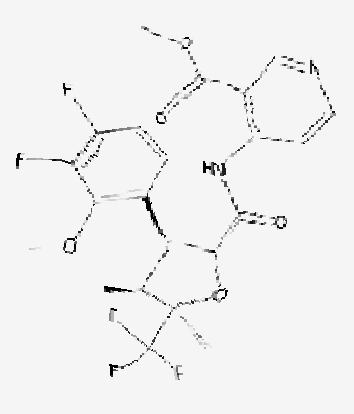 COC(=O)c1cnccc1NC(=O)[C@@H]1O[C@@](C)(C(F)(F)F)[C@@H](C)[C@H]1c1ccc(F)c(F)c1OC